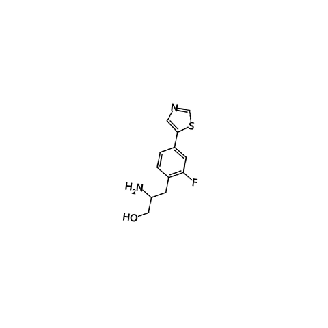 NC(CO)Cc1ccc(-c2cncs2)cc1F